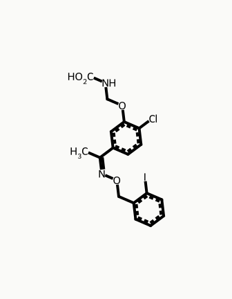 CC(=NOCc1ccccc1I)c1ccc(Cl)c(OCNC(=O)O)c1